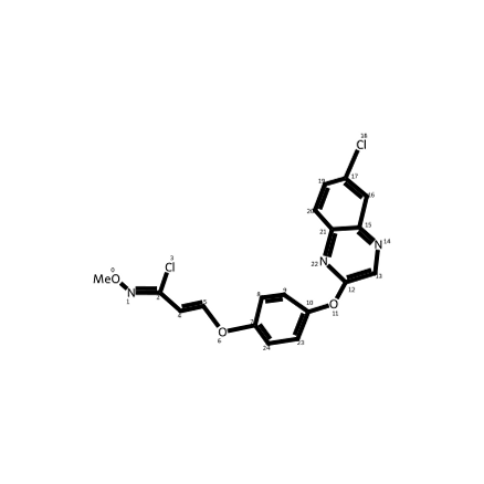 CON=C(Cl)C=COc1ccc(Oc2cnc3cc(Cl)ccc3n2)cc1